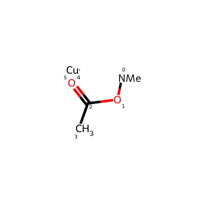 CNOC(C)=O.[Cu]